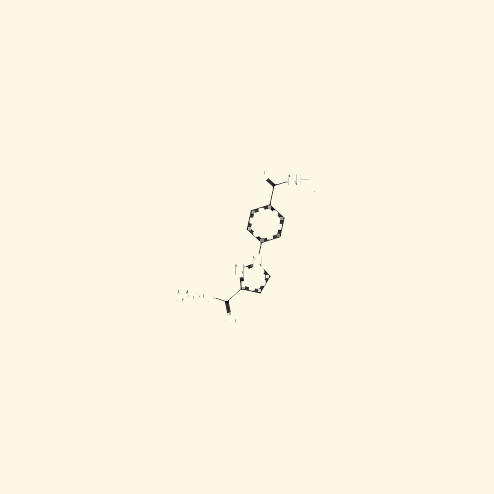 COC(=O)c1ccn(-c2ccc(C(N)=O)cc2)n1